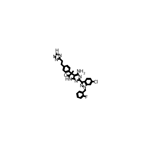 CC1(c2ccc(CCc3nn[nH]n3)cc2)C(=O)Nc2nc(-c3nn(Cc4ccccc4F)c4cc(Cl)ccc34)nc(N)c21